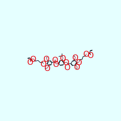 C=CC(=O)OCCCCOc1c(OC)cc(C(=O)Oc2ccc(OC(=O)c3cc(OC)c(OCCCCOC(=O)C=C)c(OC)c3)c(OC(C)C)c2)cc1OC